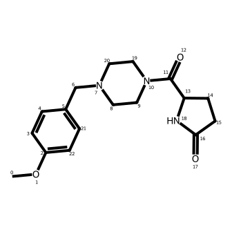 COc1ccc(CN2CCN(C(=O)C3CCC(=O)N3)CC2)cc1